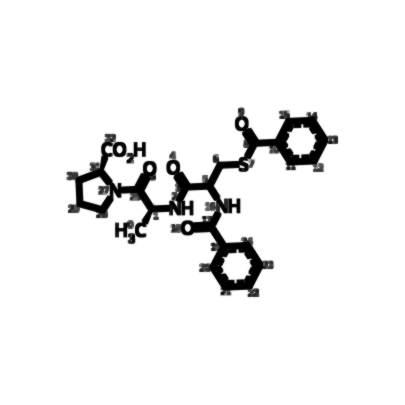 C[C@H](NC(=O)C(CSC(=O)c1ccccc1)NC(=O)c1ccccc1)C(=O)N1CCC[C@H]1C(=O)O